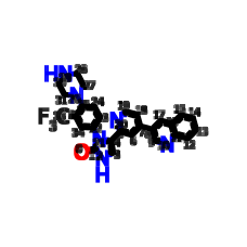 O=c1[nH]cc(-c2cc(-c3cnc4ccccc4c3)ccn2)n1-c1ccc(N2CCNCC2)c(C(F)(F)F)c1